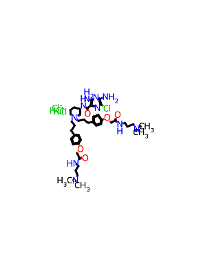 CN(C)CCCNC(=O)COc1ccc(CCC[N+]2(CCCc3ccc(OCC(=O)NCCCN(C)C)cc3)CCCC(NC(=O)c3nc(Cl)c(N)nc3N)C2)cc1.Cl.Cl.[Cl-]